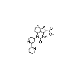 COC(=O)c1sc2nccc3c2c1NC(=O)N3c1ccnc(-c2ccccn2)c1